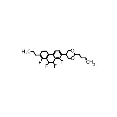 C=CCCC1OCC(c2ccc3c(c2F)C(F)C(F)c2c-3ccc(CCC)c2F)CO1